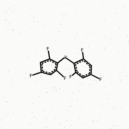 Fc1cc(F)c([I+]c2c(F)cc(F)cc2F)c(F)c1